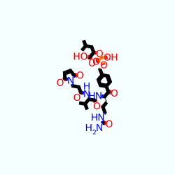 CC(C)CC(OP(=O)(O)OCc1ccc(C(=O)[C@H](CCCNC(N)=O)NC(=O)[C@@H](NC(=O)CCN2C(=O)C=CC2=O)C(C)C)cc1)C(=O)O